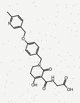 Cc1ccc(COc2ccc(CN3CCC(O)=C(C(=O)NCC(=O)O)C3=O)cc2)cn1